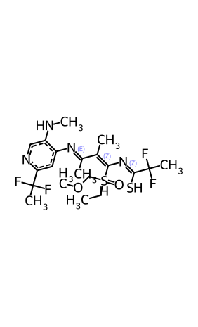 CC[SH](=O)(COC)C(/N=C(\S)C(C)(F)F)=C(C)\C(C)=N\c1cc(C(C)(F)F)ncc1NC